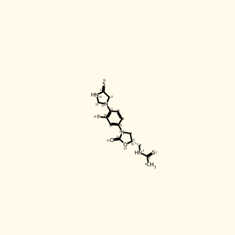 CC(=S)NC[C@H]1CN(c2ccc(N3CNC(=S)C3)c(F)c2)C(=O)O1